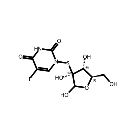 O=c1[nH]c(=O)n(S[C@]2(O)C(O)O[C@H](CO)[C@H]2O)cc1I